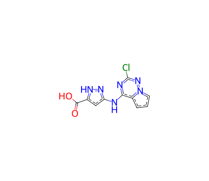 O=C(O)c1cc(Nc2nc(Cl)nn3cccc23)n[nH]1